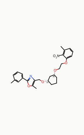 Cc1cccc(-c2nc(CO[C@H]3CCC[C@@H](OCCOc4cccc(C)c4[N+](=O)[O-])C3)c(C)o2)c1